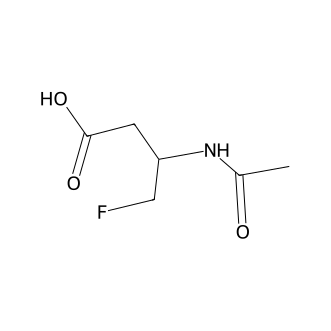 CC(=O)NC(CF)CC(=O)O